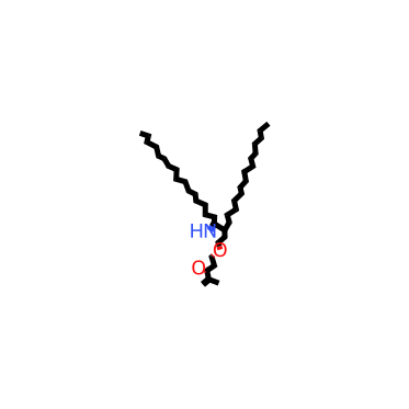 C=C(C)C(=O)CCOCCC(CCCCCCCCCCCCCCC)C(=N)CCCCCCCCCCCCCCCC